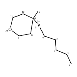 CCCCCPC1(C)CCOCC1